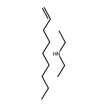 C=CCCCCCCC.CCNCC